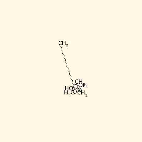 [CH2]CCCCCCCCCCCCCCCCCCCc1c(C)c(O)c(OC)c(OC)c1O